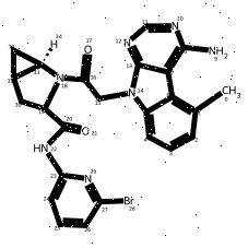 Cc1cccc2c1c1c(N)ncnc1n2CC(=O)N1C(C(=O)Nc2cccc(Br)n2)CC2C[C@H]21